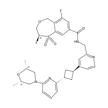 C[C@@H]1CN(c2cccc([C@H]3C[C@H](c4ccnc(CNC(=O)c5cc(F)c6c(c5)S(=O)(=O)[C@@H](F)COC6)c4)C3)n2)C[C@H](C)O1